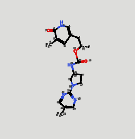 C[C@@H](Cc1c[nH]c(=O)c(C(F)(F)F)c1)OC(=O)N[C@H]1CCN(c2ncc(C(F)(F)F)cn2)C1